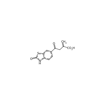 C=C(CC(=O)c1ccc2[nH]c(=O)sc2c1)C(=O)O